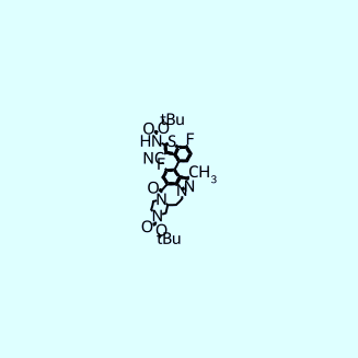 Cc1nn2c3c(cc(F)c(-c4ccc(F)c5sc(NC(=O)OC(C)(C)C)c(C#N)c45)c13)C(=O)N1CCN(C(=O)OC(C)(C)C)CC1CC2